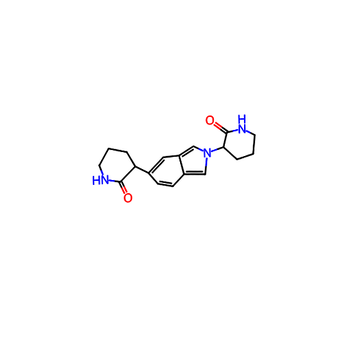 O=C1NCCCC1c1ccc2cn(C3CCCNC3=O)cc2c1